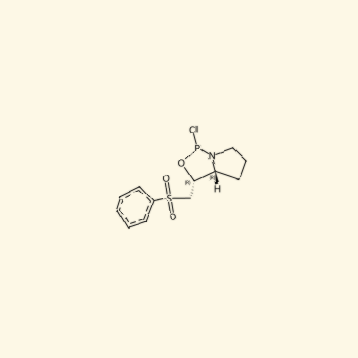 O=S(=O)(C[C@@H]1OP(Cl)N2CCC[C@H]12)c1ccccc1